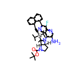 CC(C)[Si](C#Cc1cccc2cccc(-c3ncc4c(N5C[C@@H]6[C@H]5CCN6C(=O)OC(C)(C)C)c(N)cnc4c3F)c12)(C(C)C)C(C)C